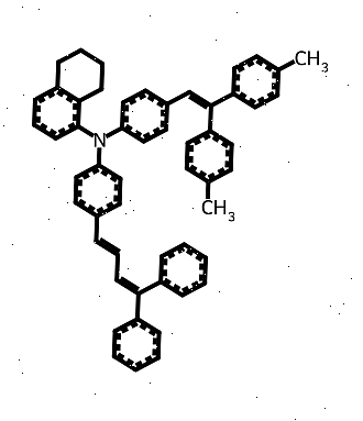 Cc1ccc(C(=Cc2ccc(N(c3ccc(/C=C/C=C(c4ccccc4)c4ccccc4)cc3)c3cccc4c3CCCC4)cc2)c2ccc(C)cc2)cc1